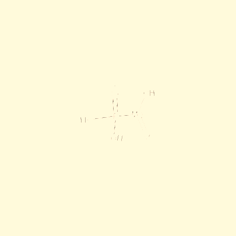 [O]=[Mo]([OH])[P](=O)(O)O